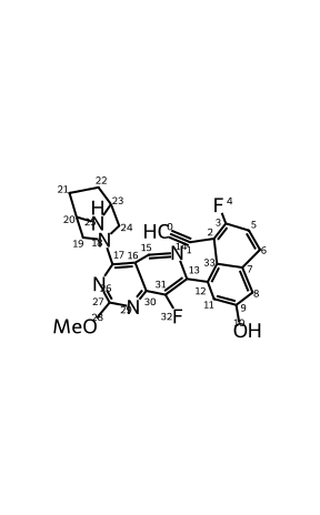 C#Cc1c(F)ccc2cc(O)cc(-c3ncc4c(N5CC6CCC(C5)N6)nc(OC)nc4c3F)c12